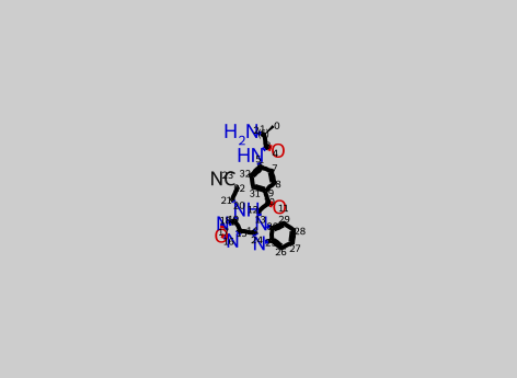 C[C@H](N)C(=O)Nc1ccc(C(=O)Cn2c(-c3nonc3NCCC#N)nc3ccccc32)cc1